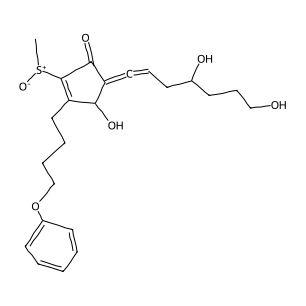 C[S+]([O-])C1=C(CCCCOc2ccccc2)C(O)C(=C=CCC(O)CCCO)C1=O